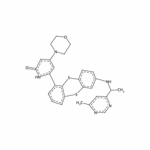 Cc1cc(C(C)Nc2ccc3c(c2)Sc2cccc(-c4cc(N5CCOCC5)cc(=O)[nH]4)c2S3)ncn1